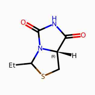 CCC1SC[C@H]2C(=O)NC(=O)N12